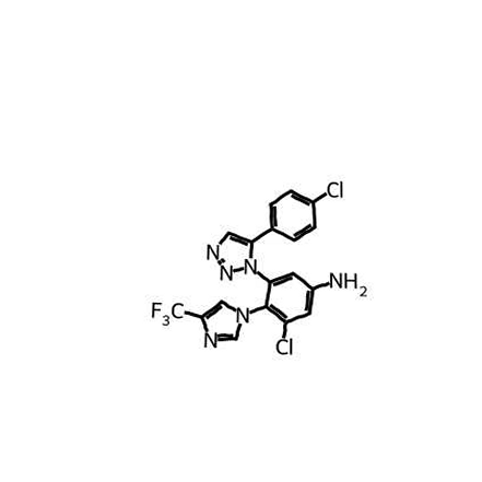 Nc1cc(Cl)c(-n2cnc(C(F)(F)F)c2)c(-n2nncc2-c2ccc(Cl)cc2)c1